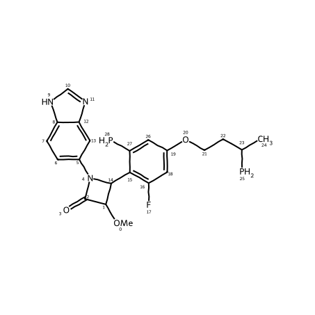 COC1C(=O)N(c2ccc3[nH]cnc3c2)C1c1c(F)cc(OCCC(C)P)cc1P